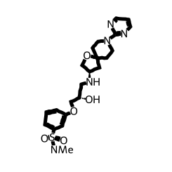 CNS(=O)(=O)c1cccc(OC[C@@H](O)CN[C@H]2COC3(CCN(c4ncccn4)CC3)C2)c1